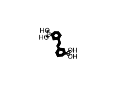 OB(O)c1cccc(C=Cc2cccc(B(O)O)c2)c1